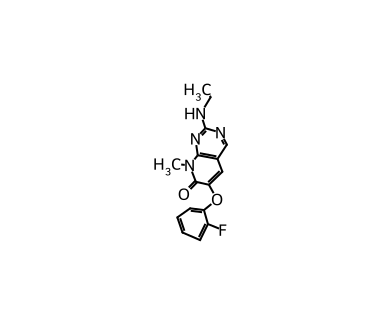 CCNc1ncc2cc(Oc3ccccc3F)c(=O)n(C)c2n1